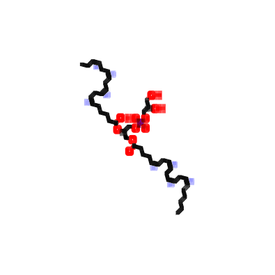 CC/C=C\C/C=C\C/C=C\C/C=C\CCCCC(=O)O[C@H](COC(=O)CCC/C=C\C/C=C\C/C=C\C/C=C\CCCCC)COP(=O)(O)OC[C@@H](O)CO